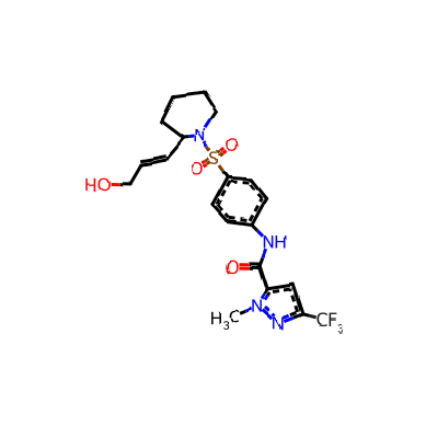 Cn1nc(C(F)(F)F)cc1C(=O)Nc1ccc(S(=O)(=O)N2CCCCC2/C=C/CO)cc1